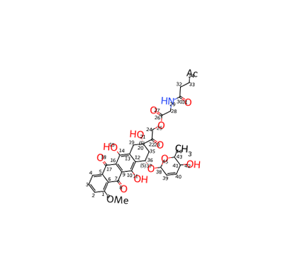 COc1cccc2c1C(=O)c1c(O)c3c(c(O)c1C2=O)C[C@@](O)(C(=O)COC(=O)CNC(=O)CCC(C)=O)C[C@@H]3OC1C=CC(O)C(C)O1